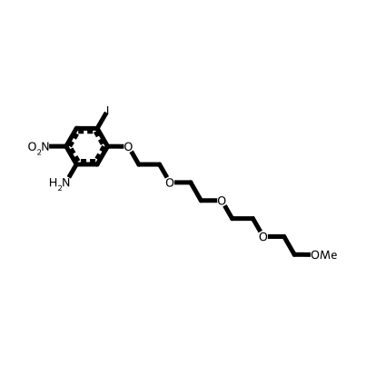 COCCOCCOCCOCCOc1cc(N)c([N+](=O)[O-])cc1I